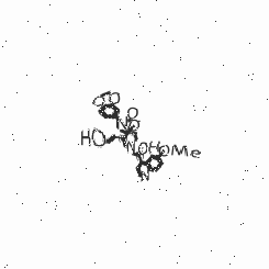 COc1ccc2nccc([C@@H](O)CN3CC[C@]4(CN(c5ccc6c(c5)OCCO6)C(=O)O4)[C@H](CCO)C3)c2c1